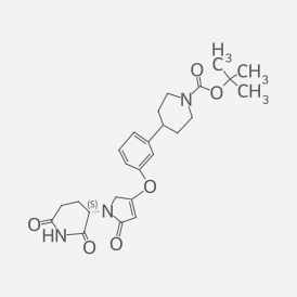 CC(C)(C)OC(=O)N1CCC(c2cccc(OC3=CC(=O)N([C@H]4CCC(=O)NC4=O)C3)c2)CC1